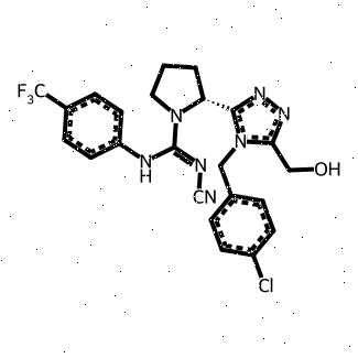 N#C/N=C(\Nc1ccc(C(F)(F)F)cc1)N1CCC[C@@H]1c1nnc(CO)n1Cc1ccc(Cl)cc1